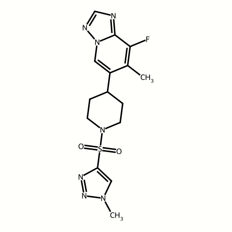 Cc1c(C2CCN(S(=O)(=O)c3cn(C)nn3)CC2)cn2ncnc2c1F